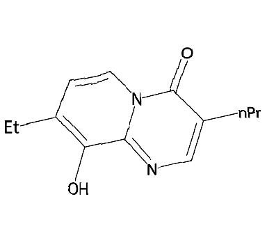 CCCc1cnc2c(O)c(CC)ccn2c1=O